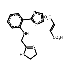 O=C(O)C=CC(=O)O.c1ccc(-c2ncco2)c(NCC2=NCCN2)c1